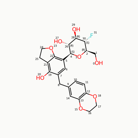 OC[C@H]1O[C@@H](c2cc(Cc3ccc4c(c3)OCCO4)c(O)c3c2OCC3)[C@H](O)[C@@H](O)[C@@H]1F